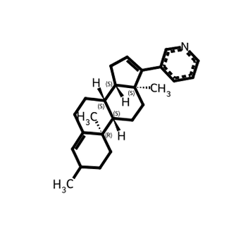 CC1C=C2CC[C@H]3[C@H](CC[C@]4(C)C(c5cccnc5)=CC[C@@H]34)[C@@]2(C)CC1